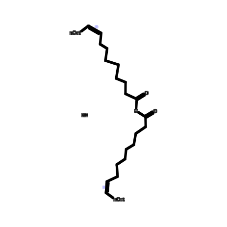 CCCCCCCC/C=C\CCCCCCCC(=O)OC(=O)CCCCCCC/C=C\CCCCCCCC.[KH]